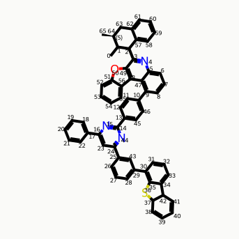 CC1C(c2nc3cccc(-c4ccc(-c5nc(-c6ccccc6)cc(-c6cccc(-c7cccc8c7SC7C=CC=CC87)c6)n5)cc4)c3c3c2oc2ccccc23)c2ccccc2C[C@@H]1C